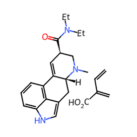 C=CC(=C)C(=O)O.CCN(CC)C(=O)[C@@H]1C=C2c3cccc4[nH]cc(c34)C[C@H]2N(C)C1